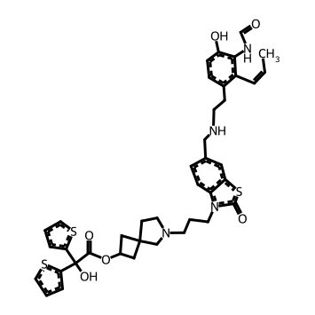 C/C=C\c1c(CCNCc2ccc3c(c2)sc(=O)n3CCCN2CCC3(CC(OC(=O)C(O)(c4cccs4)c4cccs4)C3)C2)ccc(O)c1NC=O